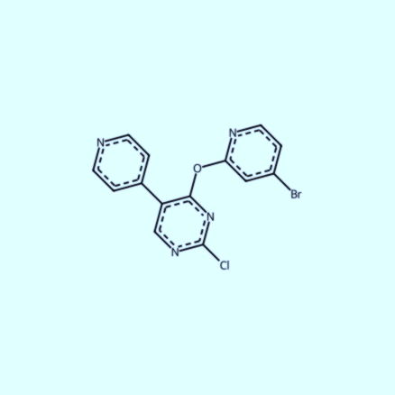 Clc1ncc(-c2ccncc2)c(Oc2cc(Br)ccn2)n1